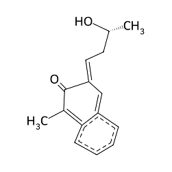 CC1=c2ccccc2=CC(=CC[C@@H](C)O)C1=O